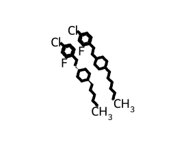 CCCCCCCC1CCC(CCc2ccc(Cl)cc2F)CC1.CCCCCC[C@H]1CC[C@H](CCc2ccc(Cl)cc2F)CC1